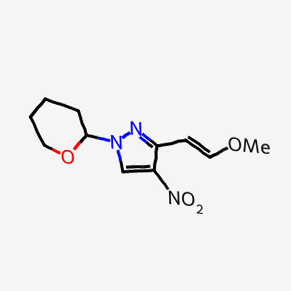 CO/C=C/c1nn(C2CCCCO2)cc1[N+](=O)[O-]